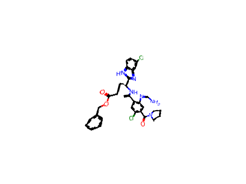 C=C(N[C@@H](CCC(=O)OCc1ccccc1)c1nc2cc(Cl)ccc2[nH]1)c1cc(Cl)c(C(=O)N2CCCC2)cc1/N=C\N